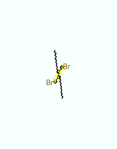 CCCCCCCCCCCCc1cc(-c2cc(CCCCCCCCCCCC)c(-c3ccc(Br)s3)s2)sc1-c1ccc(Br)s1